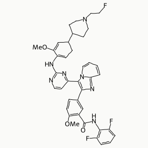 COC1=CC(C2CCN(CCF)CC2)CC=C1Nc1nccc(-c2c(-c3ccc(OC)c(C(=O)Nc4c(F)cccc4F)c3)nc3ccccn23)n1